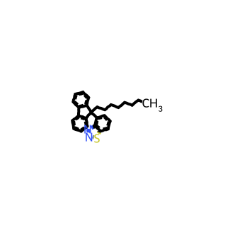 CCCCCCCCC1(c2cccc3snnc23)c2ccccc2-c2ccccc21